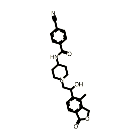 Cc1c(C(O)CN2CCC(NC(=O)c3ccc(C#N)cc3)CC2)ccc2c1COC2=O